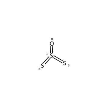 O=S(=S)=S